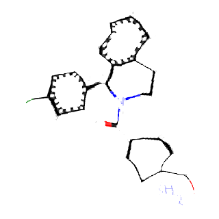 N[C@]1(CO)CC[C@H](C(=O)N2CCc3ccccc3[C@@H]2c2ccc(F)cc2)CC1